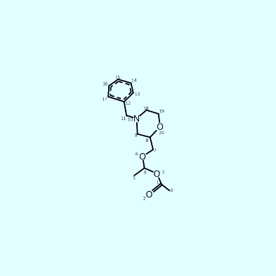 CC(=O)OC(C)OCC1CN(Cc2ccccc2)CCO1